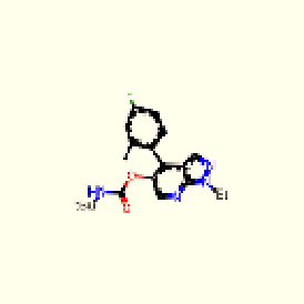 CCn1ncc2c(-c3ccc(F)cc3C)c(OC(=O)NC(C)(C)C)cnc21